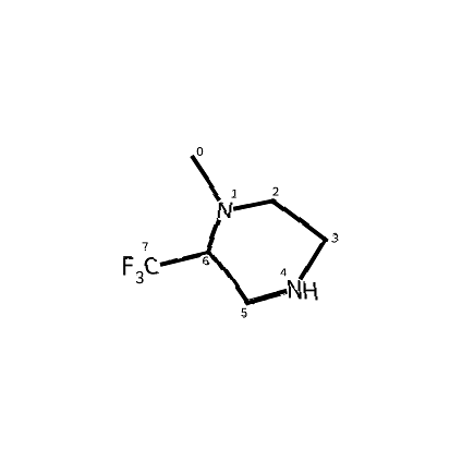 CN1CCN[CH]C1C(F)(F)F